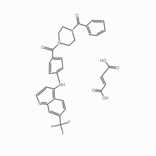 O=C(O)C=CC(=O)O.O=C(c1ccccc1)N1CCN(C(=O)c2ccc(Nc3ccnc4cc(C(F)(F)F)ccc34)cc2)CC1